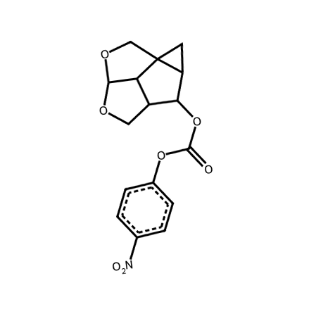 O=C(Oc1ccc([N+](=O)[O-])cc1)OC1C2COC3OCC4(CC14)C32